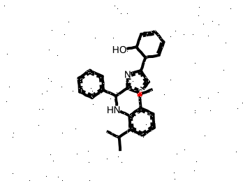 CC(C)c1cccc(C(C)C)c1NC(c1ccccc1)c1nc(C2C=CC=CC2O)cs1